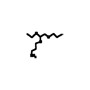 [CH2]CCOCC(OCC)OCCCN